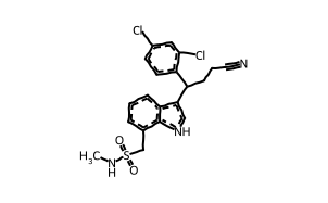 CNS(=O)(=O)Cc1cccc2c(C(CCC#N)c3ccc(Cl)cc3Cl)c[nH]c12